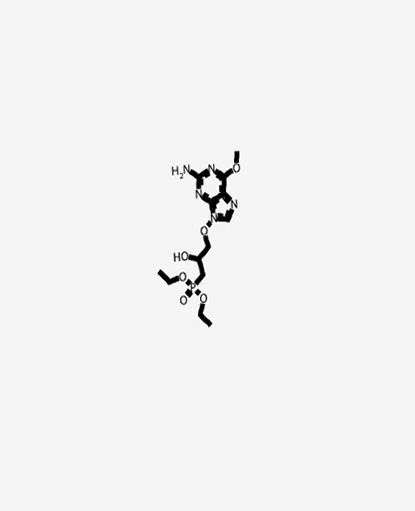 CCOP(=O)(CC(O)COn1cnc2c(OC)nc(N)nc21)OCC